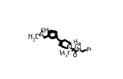 CC(C)CNC(=O)C(C)(C)N1CC=C(c2cccc(CN(C)C)c2)CC1